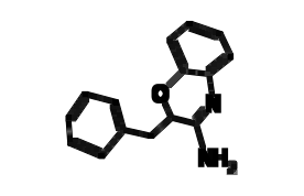 NC1=Nc2ccccc2OC1Cc1ccccc1